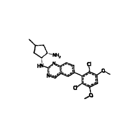 COc1cc(OC)c(Cl)c(-c2ccc3nc(N[C@@H]4CC(C)C[C@@H]4N)ncc3c2)c1Cl